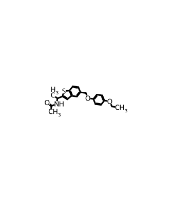 CCOc1ccc(OCc2ccc3sc(C(C)NC(C)=O)cc3c2)cc1